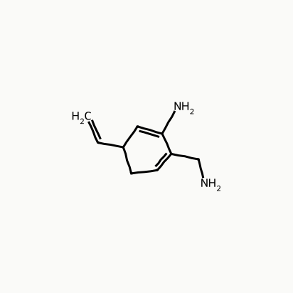 C=CC1C=C(N)C(CN)=CC1